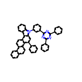 c1ccc(-c2nc(-c3ccccc3)nc(-c3cccc(-n4c5ccccc5c5c6ccc7c8ccccc8ccc7c6c(-c6ccccc6)cc54)c3)n2)cc1